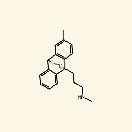 CNCCCC12CCC(c3ccccc31)c1cc(C)ccc12